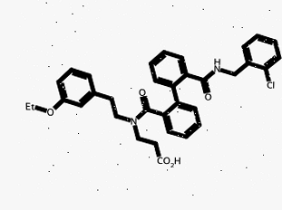 CCOc1cccc(CCN(CCC(=O)O)C(=O)c2ccccc2-c2ccccc2C(=O)NCc2ccccc2Cl)c1